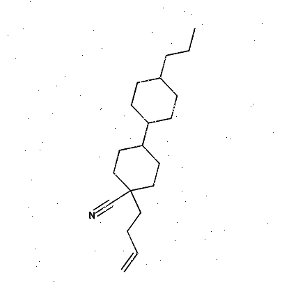 C=CCCC1(C#N)CCC(C2CCC(CCC)CC2)CC1